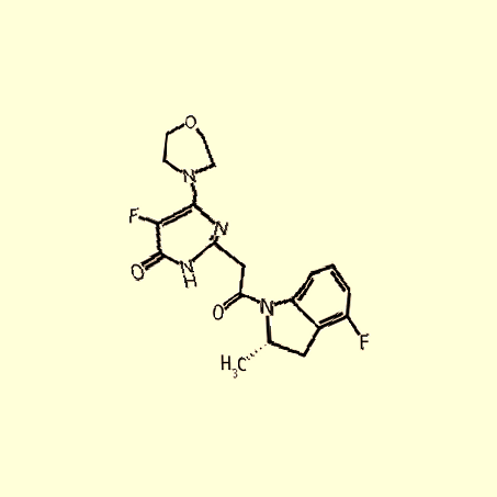 C[C@H]1Cc2c(F)cccc2N1C(=O)Cc1nc(N2CCOCC2)c(F)c(=O)[nH]1